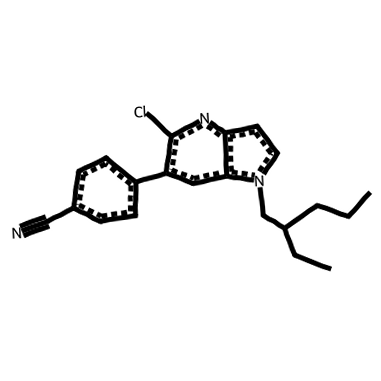 CCCC(CC)Cn1ccc2nc(Cl)c(-c3ccc(C#N)cc3)cc21